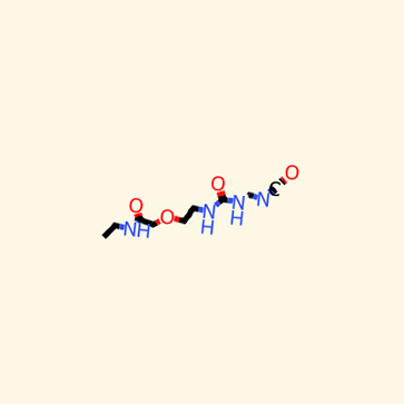 CCNC(=O)COCCNC(=O)NCN=C=O